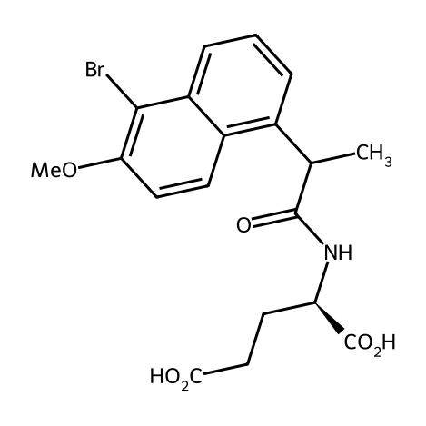 COc1ccc2c(C(C)C(=O)N[C@H](CCC(=O)O)C(=O)O)cccc2c1Br